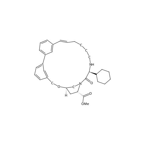 COC(=O)[C@@H]1C[C@@H]2CN1C(=O)[C@H](C1CCCCC1)NCCCC/C=C/c1cccc(c1)-c1cccc(c1)CO2